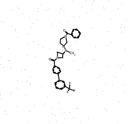 CN(C1CN(C(=O)c2ccc(-c3cccc(C(F)(F)F)c3)cc2)C1)[C@H]1CCN(C(=O)c2ccccc2)C1